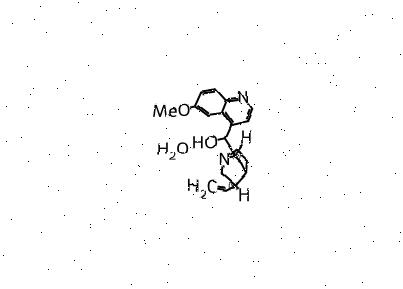 C=C[C@@H]1CN2CCC1C[C@H]2C(O)c1ccnc2ccc(OC)cc12.O